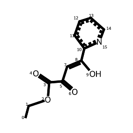 CCOC(=O)C(=O)C=C(O)c1ccccn1